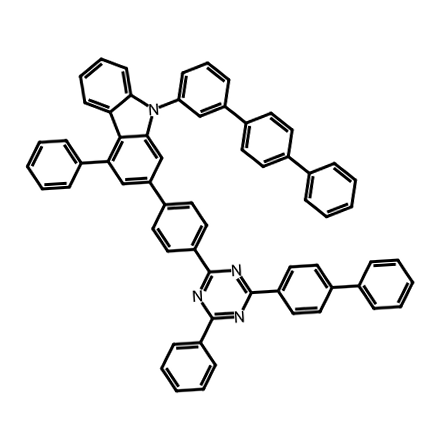 c1ccc(-c2ccc(-c3cccc(-n4c5ccccc5c5c(-c6ccccc6)cc(-c6ccc(-c7nc(-c8ccccc8)nc(-c8ccc(-c9ccccc9)cc8)n7)cc6)cc54)c3)cc2)cc1